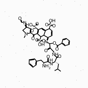 CC(C)C[C@H](NC(=O)[C@@H](N)Cc1ccccc1)C(=O)NCC(=O)C(N=C1C=CC(S(=O)(=O)O)C2=CC(S(=O)(=O)O)=C(C(=O)C3=CC(=NC=O)CN3C)C(S(=O)(=O)O)C21)OC(=O)c1ccccc1